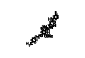 COc1cc2c(Nc3cc(CC(=O)Nc4cccc(F)c4)[nH]n3)ncnc2cc1OCCCN1CCC(C)CC1